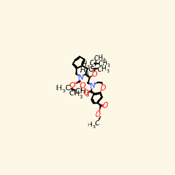 CCOC(=O)c1ccc2c(c1)OCCN(CC(O[Si](C)(C)C(C)(C)C)C1Cc3ccccc3CN1C(=O)OC(C)(C)C)C2=O